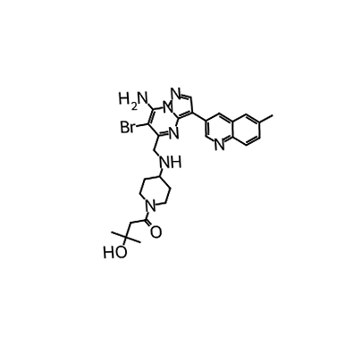 Cc1ccc2ncc(-c3cnn4c(N)c(Br)c(CNC5CCN(C(=O)CC(C)(C)O)CC5)nc34)cc2c1